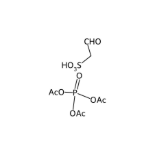 CC(=O)OP(=O)(OC(C)=O)OC(C)=O.O=CCS(=O)(=O)O